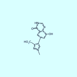 Cn1cc(-c2cc(O)c3nc[nH]c(=O)c3c2)c(C(=O)O)n1